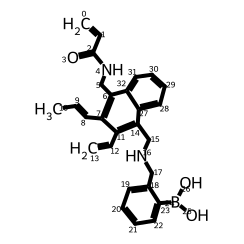 C=CC(=O)NCc1c(C=CC)c(C=C)c(CNCc2ccccc2B(O)O)c2ccccc12